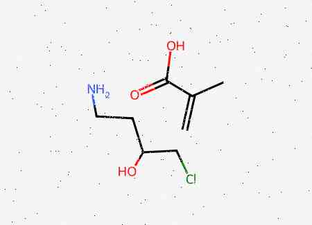 C=C(C)C(=O)O.NCCC(O)CCl